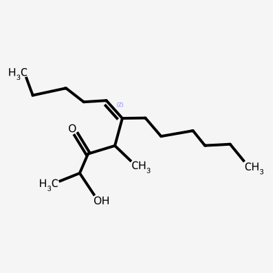 CCCC/C=C(/CCCCCC)C(C)C(=O)C(C)O